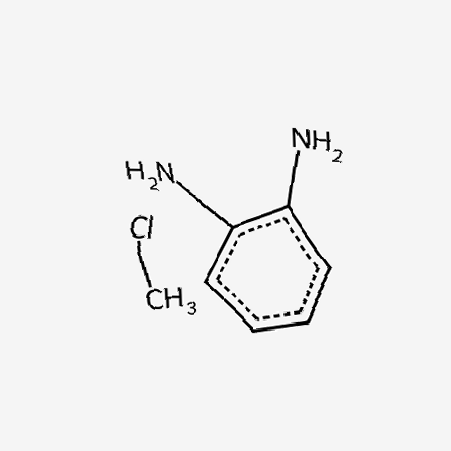 CCl.Nc1ccccc1N